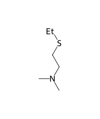 [CH2]CSCCN(C)C